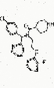 O=C(C1CCNCC1)N(CCOc1ccccc1F)C(c1ccc(Cl)cc1)c1ccccn1